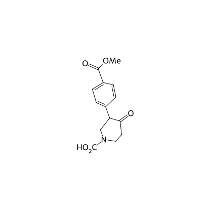 COC(=O)c1ccc(C2CN(C(=O)O)CCC2=O)cc1